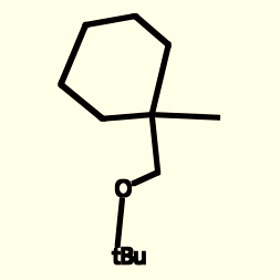 CC1(COC(C)(C)C)CCCCC1